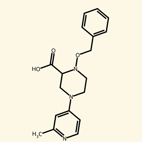 Cc1cc(N2CCN(OCc3ccccc3)C(C(=O)O)C2)ccn1